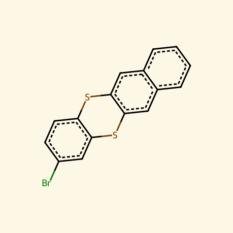 Brc1ccc2c(c1)Sc1cc3ccccc3cc1S2